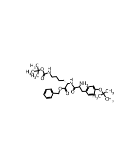 CC(C)(C)OC(=O)NCCCC[C@H](NC(=O)[C@@H](N)Cc1ccc(OC(C)(C)C)cc1)C(=O)OCc1ccccc1